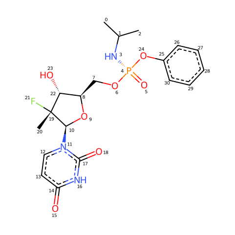 CC(C)N[P@](=O)(OC[C@H]1O[C@@H](n2ccc(=O)[nH]c2=O)[C@](C)(F)[C@@H]1O)Oc1ccccc1